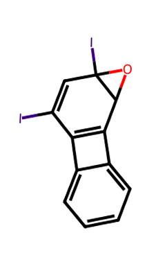 IC1=CC2(I)OC2C2=C1c1ccccc12